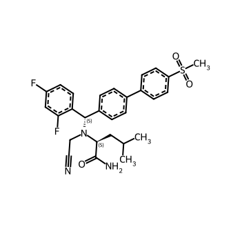 CC(C)C[C@@H](C(N)=O)N(CC#N)[C@@H](c1ccc(-c2ccc(S(C)(=O)=O)cc2)cc1)c1ccc(F)cc1F